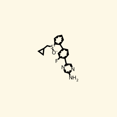 Nc1cnc(-c2ccc(-c3ccccc3[S+]([O-])CC3CC3)cc2F)cn1